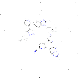 Cc1nc2cc(-c3nc(C#N)ccc3/C(C=N)=C/NCC(C)(CCn3c(C)nc4cc(-c5ncccc5-c5cnn(CC(C)(C)C(C)(F)F)c5)ccc43)C(F)(F)F)ccn2n1